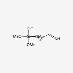 CC=N.CCC[Si](OC)(OC)OC